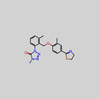 Cc1cc(C2=NCCS2)ccc1OCc1c(C)cccc1-n1nnn(C)c1=O